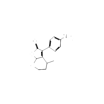 CC1CCOC2OC(=O)C(c3ccc([N+](=O)[O-])cc3)=C12